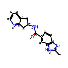 Cc1nc2ccc(C(=O)NC3Cc4cccnc4C3)cc2[nH]1